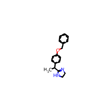 CC(C1=NCCN1)c1ccc(OCc2ccccc2)cc1